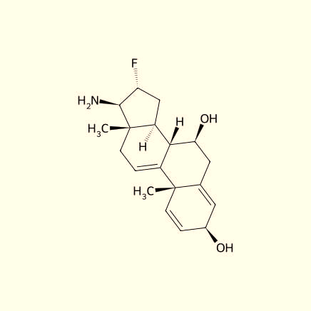 C[C@]12C=C[C@H](O)C=C1C[C@H](O)[C@@H]1C2=CC[C@]2(C)[C@@H](N)[C@H](F)C[C@@H]12